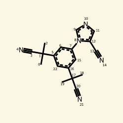 CC(C)(C#N)c1cc(-n2cncc2C#N)cc(C(C)(C)C#N)c1